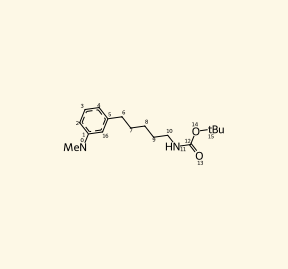 CNc1cccc(CCCCCNC(=O)OC(C)(C)C)c1